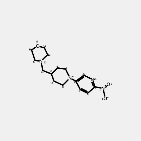 O=[N+]([O-])c1ccc(N2CCC(CN3CCOCC3)CC2)cn1